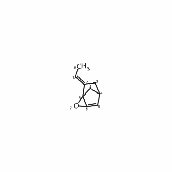 CC=C1CC2C=C3OC13C2